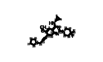 COc1cc2c(NC3CC3)nc(N3CCC(F)(F)CC3)nc2cc1C#CCN1CCCC1